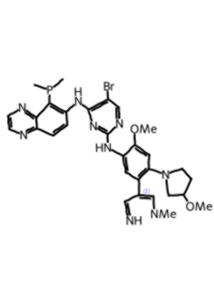 CN/C=C(\C=N)c1cc(Nc2ncc(Br)c(Nc3ccc4nccnc4c3P(C)C)n2)c(OC)cc1N1CCC(OC)C1